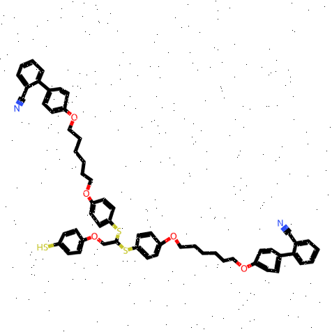 N#Cc1ccccc1-c1ccc(OCCCCCCOc2ccc(SC(COc3ccc(S)cc3)Sc3ccc(OCCCCCCOc4ccc(-c5ccccc5C#N)cc4)cc3)cc2)cc1